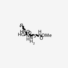 COC(=O)NCCSC[C@H](N)C(=O)N[C@@H](CO)C(=O)NCCCN(C)C